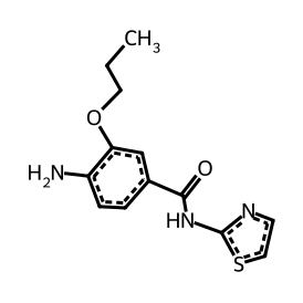 CCCOc1cc(C(=O)Nc2nccs2)ccc1N